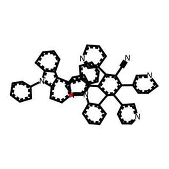 N#Cc1c(-c2cccnc2)c(-c2cccnc2)c(-c2ccccc2-n2c3ccccc3c3c4c5ccccc5n(-c5ccccc5)c4ccc32)c(-c2cccnc2)c1-c1cccnc1